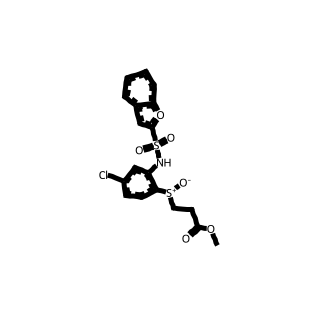 COC(=O)CC[S+]([O-])c1ccc(Cl)cc1NS(=O)(=O)c1cc2ccccc2o1